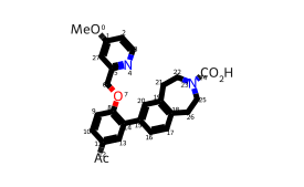 COc1ccnc(COc2ccc(C(C)=O)cc2-c2ccc3c(c2)CCN(C(=O)O)CC3)c1